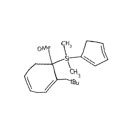 COC1([Si](C)(C)C2=CC=CC2)CC=CC=C1C(C)(C)C